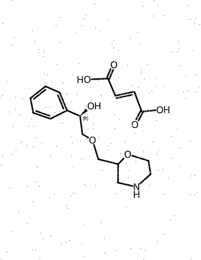 O=C(O)C=CC(=O)O.O[C@@H](COCC1CNCCO1)c1ccccc1